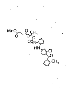 COC(=O)CCC(=O)OC(C)OC(=O)Nc1ccccc1Nc1ccc(C(=O)c2ccccc2C)c(Cl)c1